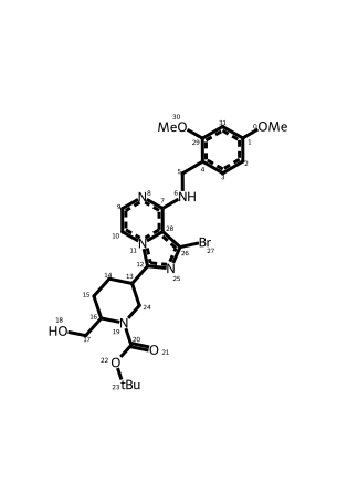 COc1ccc(CNc2nccn3c(C4CCC(CO)N(C(=O)OC(C)(C)C)C4)nc(Br)c23)c(OC)c1